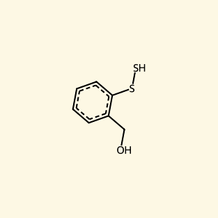 OCc1ccccc1SS